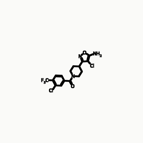 Nc1onc(C2CCN(C(=O)c3ccc(C(F)(F)F)c(Cl)c3)CC2)c1Cl